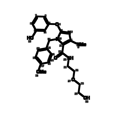 CNc1nc(Oc2cccc(O)c2)n(Cc2ccc(OC)cc2)c1C(=O)NCCOCCO